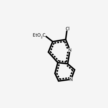 CCOC(=O)c1cc2ccncc2nc1Cl